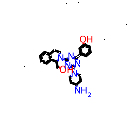 NC1CCN(c2nc(-c3cccc(O)c3)nc(N3CCc4ccccc4C3CO)n2)CC1